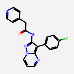 O=C(Cc1ccncc1)Nc1nn2cccnc2c1-c1ccc(Cl)cc1